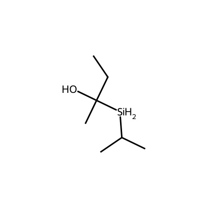 CCC(C)(O)[SiH2]C(C)C